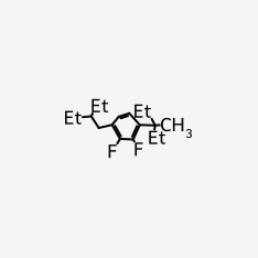 CCC(CC)Cc1ccc(C(C)(CC)CC)c(F)c1F